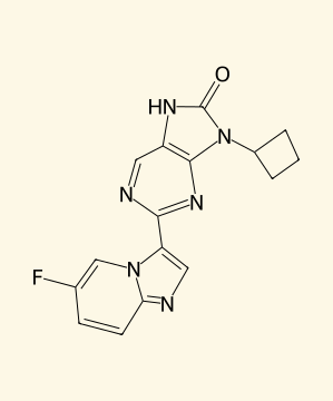 O=c1[nH]c2cnc(-c3cnc4ccc(F)cn34)nc2n1C1CCC1